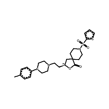 Cc1ccc(N2CCN(CC[C@H]3CC4(CCN(S(=O)(=O)c5cccs5)CC4)C(=O)O3)CC2)cc1